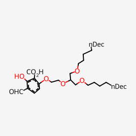 CCCCCCCCCCCCCCOCC(COCCCCCCCCCCCCCC)OCCOc1ccc(C=O)c(O)c1C(=O)O